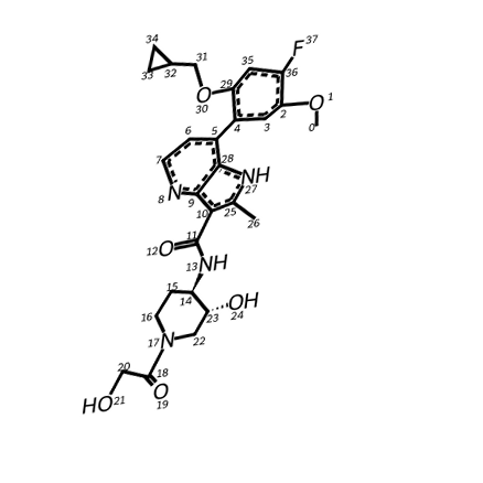 COc1cc(-c2ccnc3c(C(=O)N[C@@H]4CCN(C(=O)CO)C[C@H]4O)c(C)[nH]c23)c(OCC2CC2)cc1F